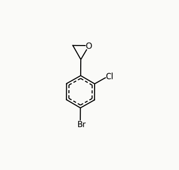 Clc1cc(Br)ccc1C1CO1